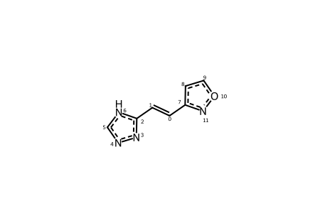 C(=Cc1nnc[nH]1)c1ccon1